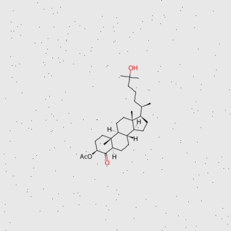 CC(=O)O[C@H]1CC[C@@]2(C)[C@@H](CC[C@@H]3[C@@H]2CC[C@]2(C)[C@@H]([C@H](C)CCCC(C)(C)O)CC[C@@H]32)C1=O